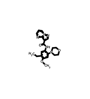 CCc1cc(NC(=O)c2cnn3cccnc23)c(N2CCOCC2)cc1OC